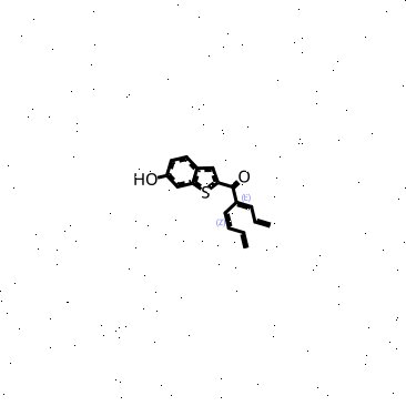 C=C/C=C\C(=C/C=C)C(=O)c1cc2ccc(O)cc2s1